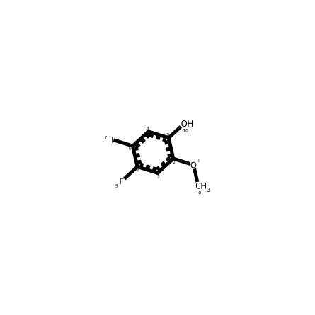 COc1cc(F)c(I)cc1O